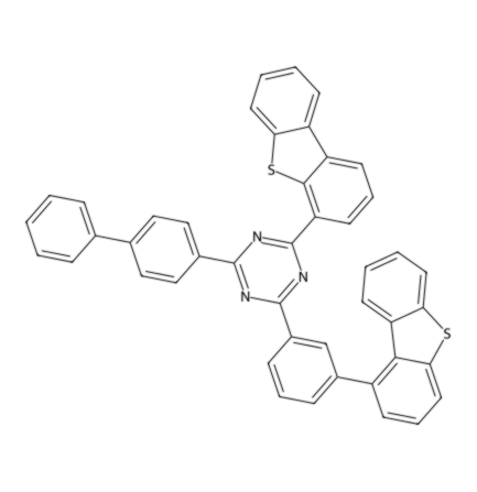 c1ccc(-c2ccc(-c3nc(-c4cccc(-c5cccc6sc7ccccc7c56)c4)nc(-c4cccc5c4sc4ccccc45)n3)cc2)cc1